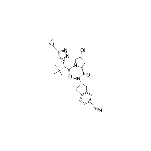 CC(C)(C)[C@@H](C(=O)N1C[C@H](O)C[C@H]1C(=O)NC1Cc2ccc(C#N)cc2C1)n1cc(C2CC2)nn1